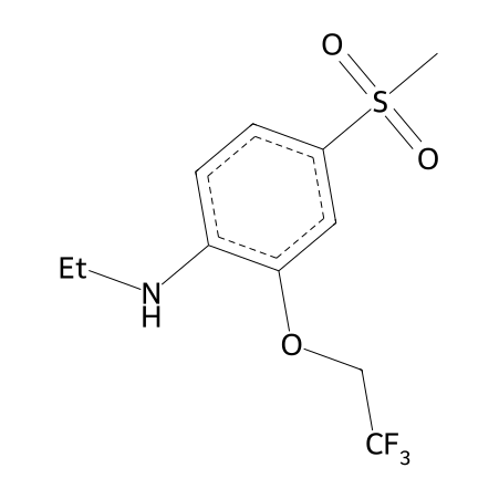 CCNc1ccc(S(C)(=O)=O)cc1OCC(F)(F)F